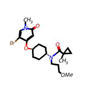 COCCCN(C(=O)C1(C)CC1)[C@H]1CC[C@H](Oc2cc(=O)n(C)cc2Br)CC1